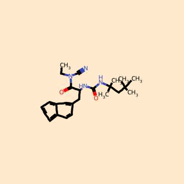 CCN(C#N)C(=O)C(Cc1ccc2ccccc2c1)NC(=O)NC(C)(C)CC(C)(C)C